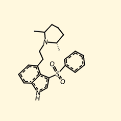 CC1CCC[C@H](C)N1CCc1cccc2[nH]cc(S(=O)(=O)c3ccccc3)c12